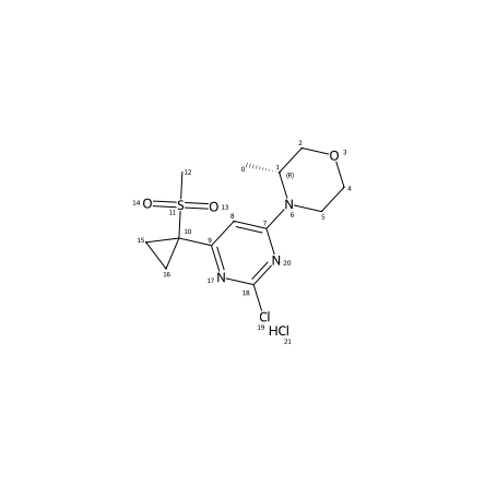 C[C@@H]1COCCN1c1cc(C2(S(C)(=O)=O)CC2)nc(Cl)n1.Cl